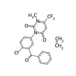 C=C.Cn1c(C(F)(F)F)cc(=O)n(-c2ccc(Cl)c(C(=O)c3ccccc3)c2)c1=O